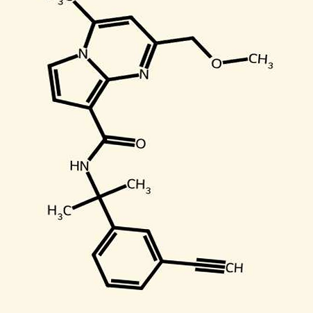 C#Cc1cccc(C(C)(C)NC(=O)c2ccn3c(C)cc(COC)nc23)c1